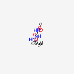 O=C(O)CC(NC(=O)CNC(=O)CCCNC(=O)OCc1ccccc1)c1ccc(-c2ccccc2)cc1